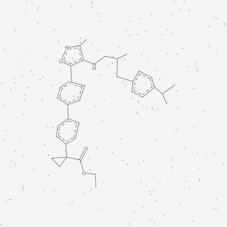 CCOC(=O)C1(c2ccc(-c3ccc(-c4onc(C)c4NCC(C)Cc4ccc(C(C)C)cc4)cc3)cc2)CC1